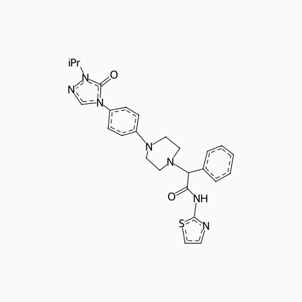 CC(C)n1ncn(-c2ccc(N3CCN(C(C(=O)Nc4nccs4)c4ccccc4)CC3)cc2)c1=O